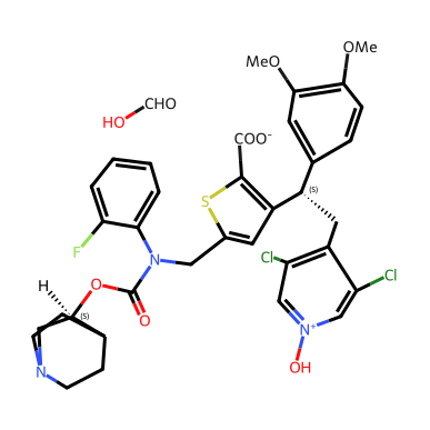 COc1ccc([C@H](Cc2c(Cl)c[n+](O)cc2Cl)c2cc(CN(C(=O)O[C@@H]3CN4CCC3CC4)c3ccccc3F)sc2C(=O)[O-])cc1OC.O=CO